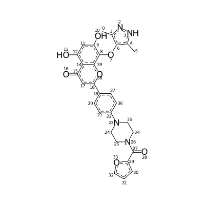 Cc1n[nH]c(C)c1Oc1c(O)cc(O)c2c(=O)cc(-c3ccc(N4CCN(C(=O)c5ccco5)CC4)cc3)oc12